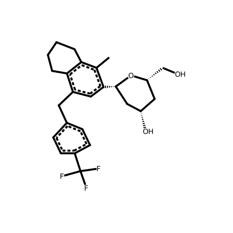 Cc1c([C@H]2C[C@@H](O)C[C@@H](CO)O2)cc(Cc2ccc(C(F)(F)F)cc2)c2c1CCCC2